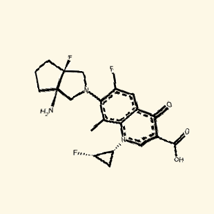 Cc1c(N2C[C@]3(N)CCC[C@]3(F)C2)c(F)cc2c(=O)c(C(=O)O)cn([C@@H]3C[C@@H]3F)c12